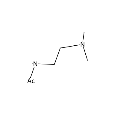 CC(=O)[N]CCN(C)C